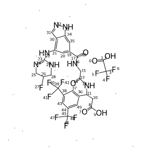 O=C(O)C(F)(F)F.O=C(O)CC(NC(=O)CNC(=O)c1cc(NC2=NCC(F)CN2)c2cn[nH]c2c1)c1cc(C(F)(F)F)cc(C(F)(F)F)c1